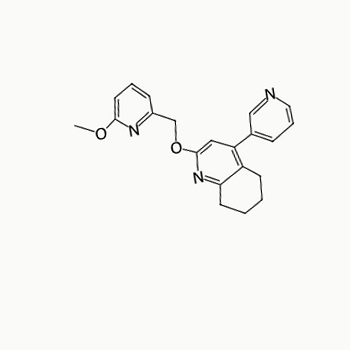 COc1cccc(COc2cc(-c3cccnc3)c3c(n2)CCCC3)n1